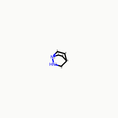 [CH]1NN2CCC1CC2